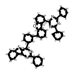 c1ccc(-c2nc(-c3ccccc3)nc(-c3cccc4oc5c(-c6cccc(-c7nc(-c8ccccc8)nc8c7sc7ccccc78)c6)cccc5c34)n2)cc1